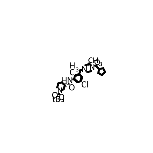 Cc1c(CN2CCN(C(=O)C3CCCC3)[C@@H](C)C2)cc(Cl)cc1NC(=O)[C@H]1CCCN(C(=O)OC(C)(C)C)C1